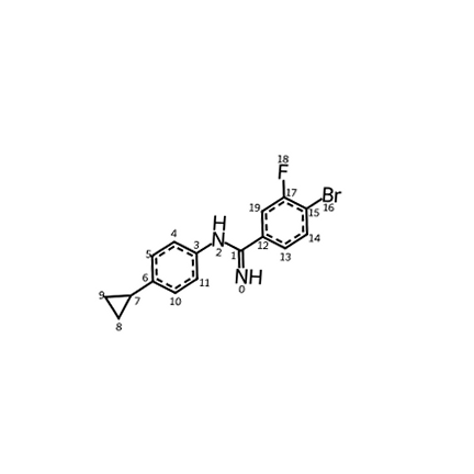 N=C(Nc1ccc(C2CC2)cc1)c1ccc(Br)c(F)c1